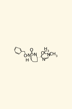 CN(C)/C=N\C(=O)[C@@H]1CC[C@@H]2CN1C(=O)N2OCc1ccccc1